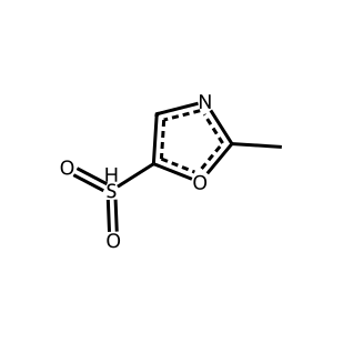 Cc1ncc([SH](=O)=O)o1